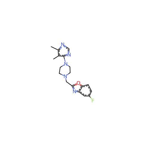 Cc1ncnc(N2CCN(Cc3nc4cc(F)ccc4o3)CC2)c1C